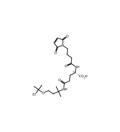 CCC(C)(C)OCCC(C)(C)NC(=O)CC[C@H](NC(=O)CCCN1C(=O)C=CC1=O)C(=O)O